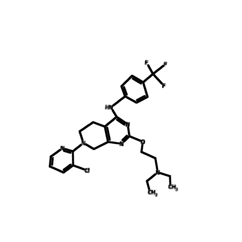 CCN(CC)CCOc1nc2c(c(Nc3ccc(C(F)(F)F)cc3)n1)CCN(c1ncccc1Cl)C2